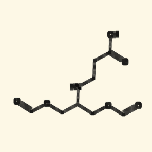 O=COCC(COC=O)NCCC(=O)O